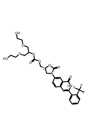 O=C(OC[C@@H]1CN(c2ccc3cc(-c4ccccc4C(F)(F)F)[nH]c(=O)c3c2)C(=O)O1)OC(COCCO)COCCO